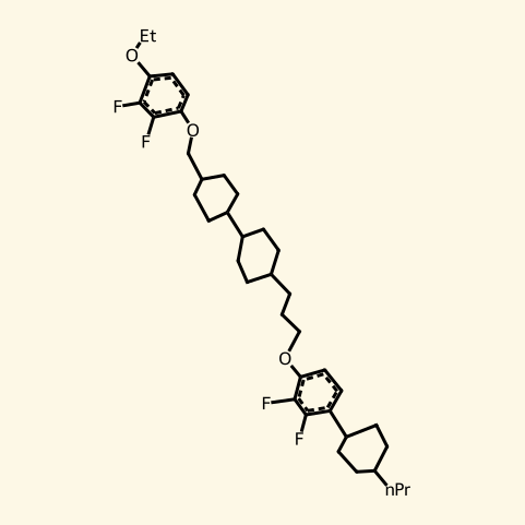 CCCC1CCC(c2ccc(OCCCC3CCC(C4CCC(COc5ccc(OCC)c(F)c5F)CC4)CC3)c(F)c2F)CC1